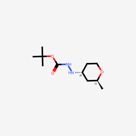 C[C@H]1C[C@H](NNC(=O)OC(C)(C)C)CCO1